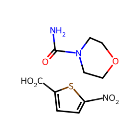 NC(=O)N1CCOCC1.O=C(O)c1ccc([N+](=O)[O-])s1